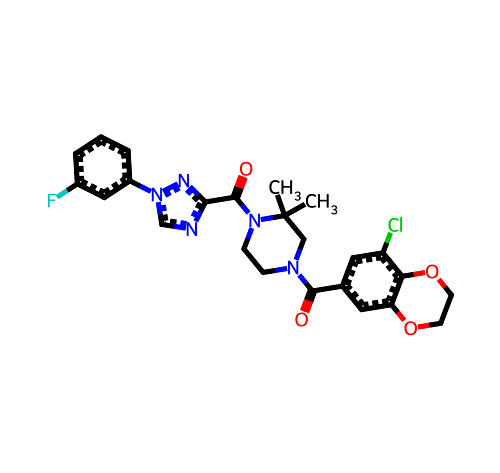 CC1(C)CN(C(=O)c2cc(Cl)c3c(c2)OCCO3)CCN1C(=O)c1ncn(-c2cccc(F)c2)n1